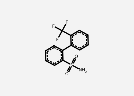 NS(=O)(=O)c1ccccc1-c1ccccc1C(F)(F)F